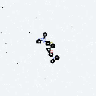 c1ccc(C2=NC(c3ccc4c(c3)sc3cccc(-c5cccc6c5oc5cc(-n7c8ccccc8c8ccccc87)ccc56)c34)=NC(c3ccccc3)N2)cc1